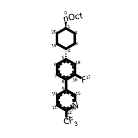 CCCCCCCC[C@H]1CC[C@H](c2ccc(-c3ccc(C(F)(F)F)nc3)c(F)c2)CC1